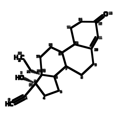 C#C[C@]1(O)CCC2C3CCC4=CC(=O)CCC4C3CC[C@@]21CC